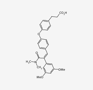 COc1cc(OC)cc(C(=Cc2ccc(Oc3ccc(CCC(=O)O)cc3)cc2)C(=O)N(C)C)c1